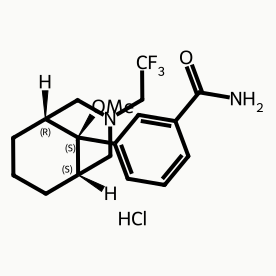 CO[C@]1(c2cccc(C(N)=O)c2)[C@@H]2CCC[C@H]1CN(CC(F)(F)F)C2.Cl